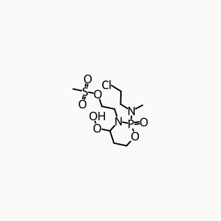 CN(CCCl)P1(=O)OCCC(OO)N1CCOS(C)(=O)=O